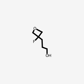 OCCCC1(F)COC1